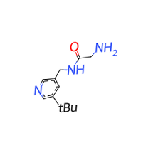 CC(C)(C)c1cncc(CNC(=O)CN)c1